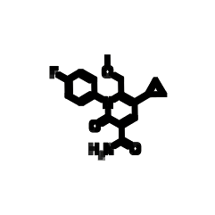 COCc1c(C2CC2)cc(C(N)=O)c(=O)n1-c1ccc(F)cc1